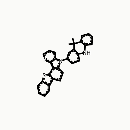 CC1(C)c2ccccc2Nc2ccc(-n3c4cccnc4c4c5sc6ccccc6c5ccc43)cc21